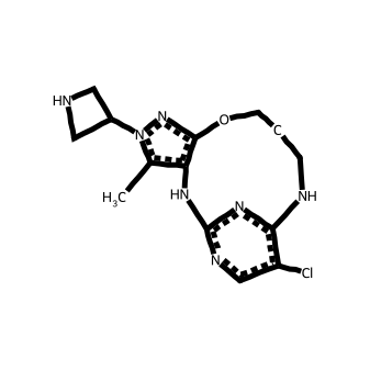 Cc1c2c(nn1C1CNC1)OCCCNc1nc(ncc1Cl)N2